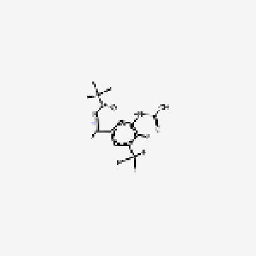 C/C(=N/[S+]([O-])C(C)(C)C)c1cc(NC(=O)O)c(F)c(C(F)(F)F)c1